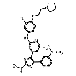 CCNc1nc(-c2cccc(N(C)C)c2)c(-c2ccnc(Nc3ccc(OCCN4CCCC4)c(Cl)c3)n2)s1